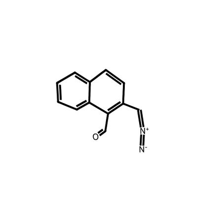 [N-]=[N+]=Cc1ccc2ccccc2c1C=O